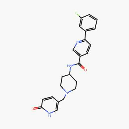 O=C(NC1CCN(Cc2ccc(=O)[nH]c2)CC1)c1ccc(-c2cccc(F)c2)nc1